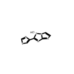 Cl.c1cn2sc(-c3cscn3)nc2n1